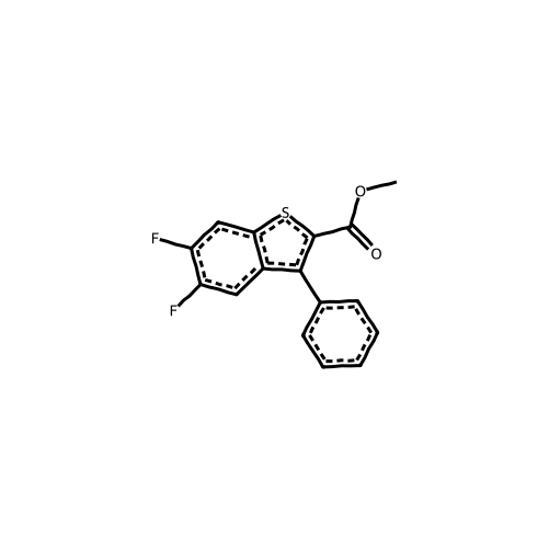 COC(=O)c1sc2cc(F)c(F)cc2c1-c1ccccc1